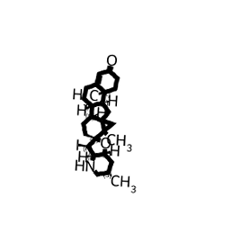 C[C@@H]1CN[C@H]2[C@@H](I)[C@@]3(CC[C@H]4[C@@H]5CCC6=CC(=O)CC[C@]6(C)[C@H]5CC45CC53C)O[C@@H]2C1